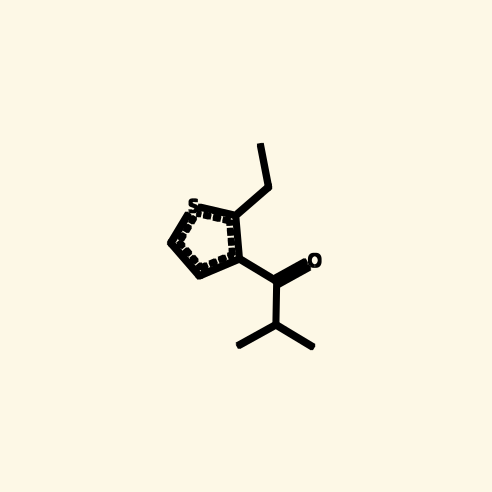 CCc1sccc1C(=O)C(C)C